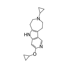 c1c(OC2CC2)ncc2c3c([nH]c12)CCN(C1CC1)CC3